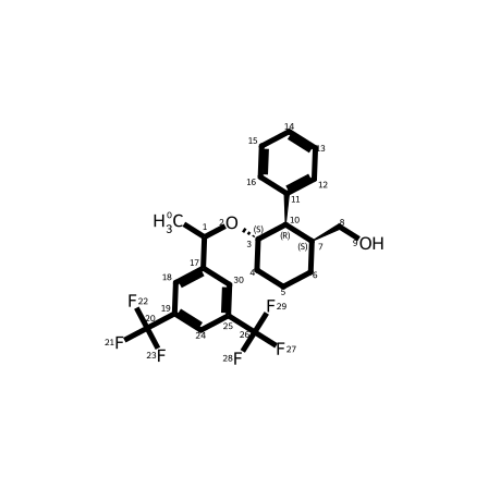 CC(O[C@H]1CCC[C@H](CO)[C@@H]1c1ccccc1)c1cc(C(F)(F)F)cc(C(F)(F)F)c1